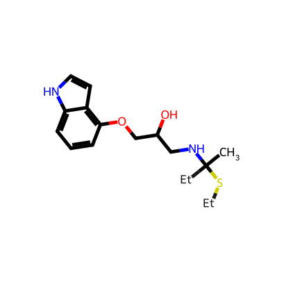 CCSC(C)(CC)NCC(O)COc1cccc2[nH]ccc12